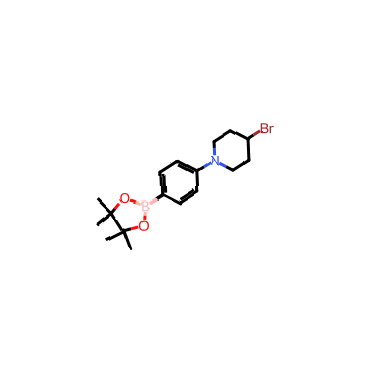 CC1(C)OB(c2ccc(N3CCC(Br)CC3)cc2)OC1(C)C